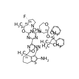 C[C@@H](Oc1nc(-c2noc([C@@]3(C)CCCc4sc(N)c(C#N)c43)n2)nc(N2CCOC[C@@](C)(O[Si](c3ccccc3)(c3ccccc3)C(C)(C)C)C2)n1)[C@@H]1[C@H](F)CCN1C